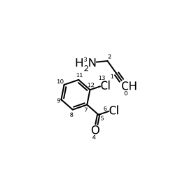 C#CCN.O=C(Cl)c1ccccc1Cl